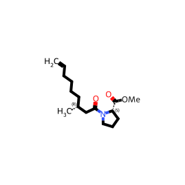 C=CCCCC[C@@H](C)CC(=O)N1CCC[C@H]1C(=O)OC